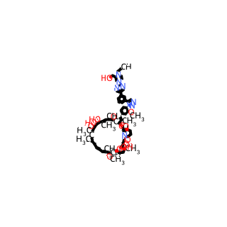 C#CCN1CCN(c2ncc(-c3cccc(-c4cnnn4[C@H]4CC[C@@H](C[C@@H](C)[C@@H]5CC(=O)[C@H](C)/C=C(\C)[C@@H](O)[C@@H](O)C(=O)[C@H](C)C[C@H](C)/C=C/C=C/C=C(\C)[C@@H](OC)C[C@@H]6CC[C@@H](C)[C@@](O)(O6)C(=O)C(=O)N6CCCC[C@H]6C(=O)O5)C[C@H]4OC)c3)cn2)CC1CO